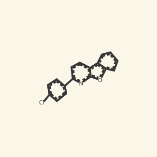 Clc1ccc(-c2ccc3c(n2)oc2ccccc23)cc1